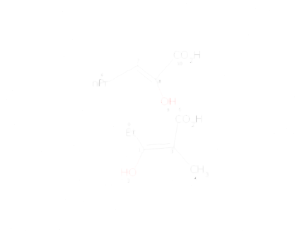 CC/C(O)=C(/C)C(=O)O.CCC/C=C(\O)C(=O)O